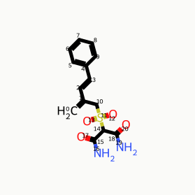 C=C(C=Cc1ccccc1)CS(=O)(=O)C(C(N)=O)C(N)=O